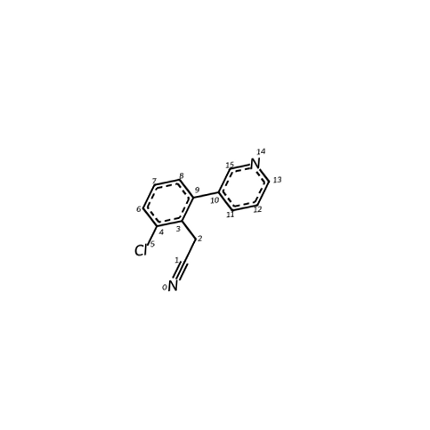 N#CCc1c(Cl)cccc1-c1cccnc1